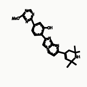 COc1ncnc(-c2ccc(-c3cn4ccc(C5=CC(C)(C)NC(C)(C)C5)nc4n3)c(O)c2)n1